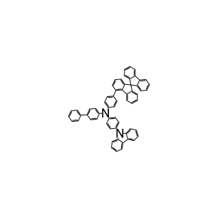 c1ccc(-c2ccc(N(c3ccc(-c4cccc5c4-c4ccccc4C54c5ccccc5-c5ccccc54)cc3)c3ccc(-n4c5ccccc5c5ccccc54)cc3)cc2)cc1